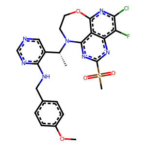 COc1ccc(CNc2ncncc2[C@@H](C)N2CCOc3nc(Cl)c(F)c4nc(S(C)(=O)=O)nc2c34)cc1